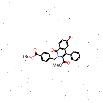 COC(=O)c1c(-c2ccccc2)c2cc(Br)ccc2c(=O)n1Cc1ccc(C(=O)OC(C)(C)C)cc1